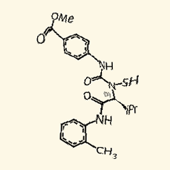 COC(=O)c1ccc(NC(=O)N(S)[C@H](C(=O)Nc2ccccc2C)C(C)C)cc1